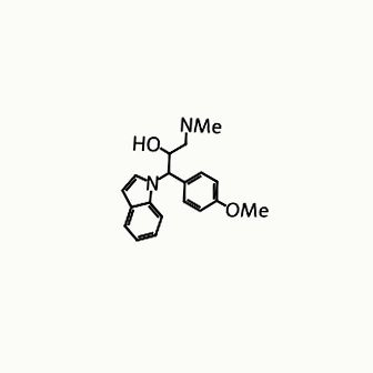 CNCC(O)C(c1ccc(OC)cc1)n1ccc2ccccc21